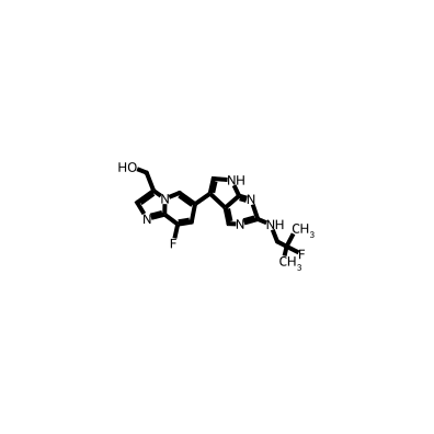 CC(C)(F)CNc1ncc2c(-c3cc(F)c4ncc(CO)n4c3)c[nH]c2n1